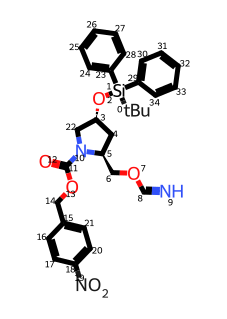 CC(C)(C)[Si](O[C@@H]1C[C@@H](COC=N)N(C(=O)OCc2ccc([N+](=O)[O-])cc2)C1)(c1ccccc1)c1ccccc1